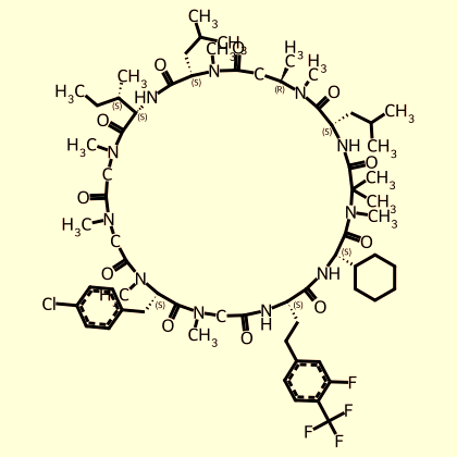 CC[C@H](C)[C@@H]1NC(=O)[C@H](CC(C)C)N(C)C(=O)C[C@@H](C)N(C)C(=O)[C@H](CC(C)C)NC(=O)C(C)(C)N(C)C(=O)[C@H](C2CCCCC2)NC(=O)[C@H](CCc2ccc(C(F)(F)F)c(F)c2)NC(=O)CN(C)C(=O)[C@H](Cc2ccc(Cl)cc2)N(C)C(=O)CN(C)C(=O)CN(C)C1=O